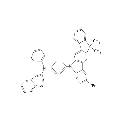 CC1(C)c2ccccc2-c2cc3c(cc21)c1cc(Br)ccc1n3-c1ccc(N(c2ccccc2)c2ccc3ccccc3c2)cc1